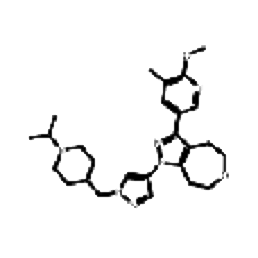 COc1ncc(-c2nn(-c3cnn(CC4CCN(C(C)C)CC4)c3)c3c2CCOCC3)cc1C